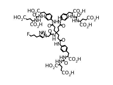 O=C(O)CCC(NC(=O)N[C@@H](Cc1ccc(NC(=O)CCC(CCC(=O)Nc2ccc(C[C@H](NC(=O)N[C@@H](CCC(=O)O)C(=O)O)C(=O)O)cc2)(CCC(=O)Nc2ccc(C[C@H](NC(=O)N[C@@H](CCC(=O)O)C(=O)O)C(=O)O)cc2)NC(=O)Cn2cc(CCCF)nn2)cc1)C(=O)O)C(=O)O